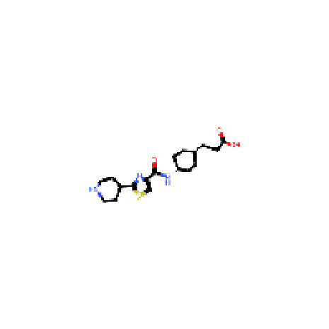 O=C(O)CC[C@H]1CC[C@H](NC(=O)c2csc(C3CCNCC3)n2)CC1